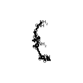 C=C1C[C@H]2C=Nc3cc(OCCCCCOc4cc(N)c(C(=O)N5CC(=C)C[C@H]5C5OCCN5C(=O)OCC(C)(C)SSCCC(=O)NCCN)cc4OC)c(OC)cc3C(=O)N2C1